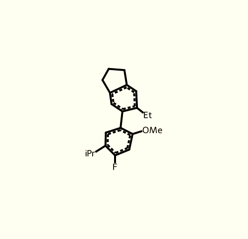 CCc1cc2c(cc1-c1cc(C(C)C)c(F)cc1OC)CCC2